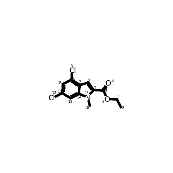 CCOC(=O)c1cc2c(Cl)cc(Cl)cc2n1C